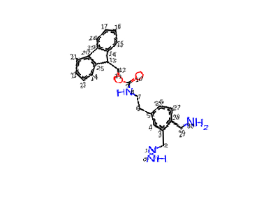 N=NCc1cc(CCNC(=O)OCC2c3ccccc3-c3ccccc32)ccc1CN